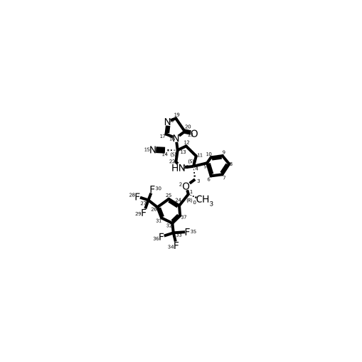 C[C@@H](OC[C@@]1(c2ccccc2)CC[C@](C#N)(N2C=NCC2=O)CN1)c1cc(C(F)(F)F)cc(C(F)(F)F)c1